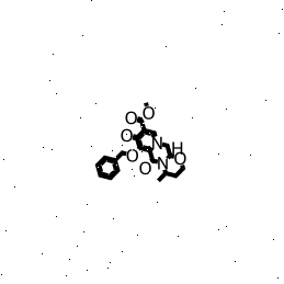 COC(=O)c1cn2c(c(OCc3ccccc3)c1=O)C(=O)N1C(C)CCO[C@H]1C2